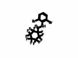 O=C(Nc1c(Br)cccc1Br)C1(F)C(F)(F)C(F)(F)C(F)(F)C(F)(F)C1(F)F